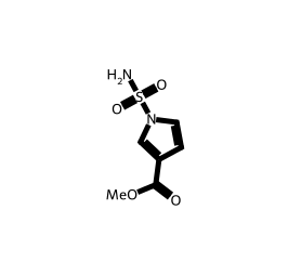 COC(=O)c1ccn(S(N)(=O)=O)c1